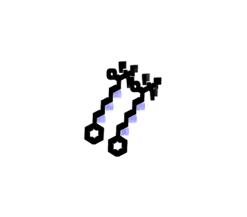 O=C(/C=C/C=C/C=C/c1ccccc1)C(F)(F)F.O=C(/C=C/C=C/C=C/c1ccccc1)C(F)(F)F